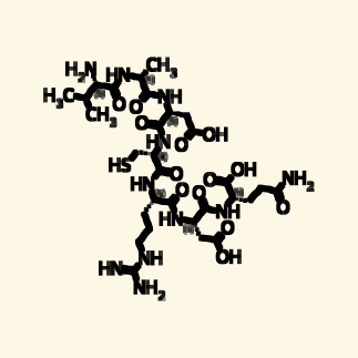 CC(C)[C@H](N)C(=O)N[C@@H](C)C(=O)N[C@@H](CC(=O)O)C(=O)N[C@@H](CS)C(=O)N[C@@H](CCCNC(=N)N)C(=O)N[C@@H](CC(=O)O)C(=O)N[C@@H](CCC(N)=O)C(=O)O